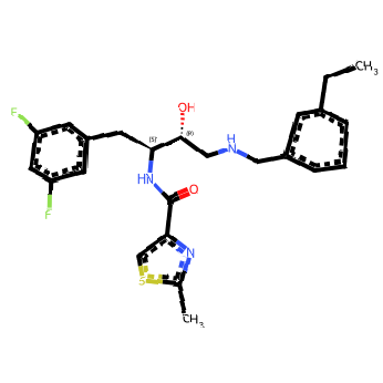 CCc1cccc(CNC[C@@H](O)[C@H](Cc2cc(F)cc(F)c2)NC(=O)c2csc(C)n2)c1